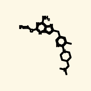 CCCC(C)Oc1nc(N)c2nc(Cc3cnc(N4CCC(CN(C)C)CC4)c(C)c3)cn2n1